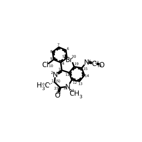 C[C@@H]1N=C(c2ccccc2Cl)c2c(ccc(N=C=O)c2Br)N(C)C1=O